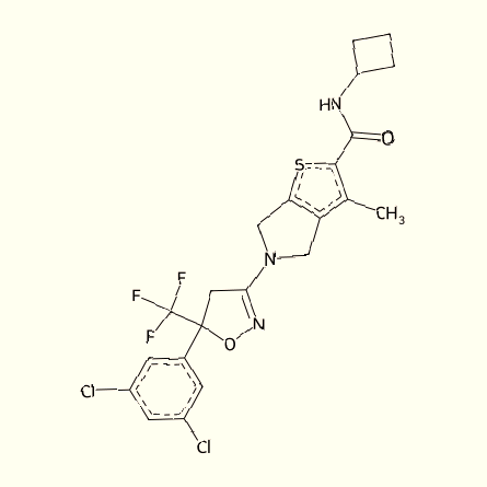 Cc1c(C(=O)NC2CCC2)sc2c1CN(C1=NOC(c3cc(Cl)cc(Cl)c3)(C(F)(F)F)C1)C2